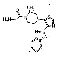 CC1CN(c2scnc2-c2nc3ccccc3[nH]2)CCN1C(=O)CN